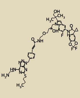 CCCSc1nc(NCCN)c2nnn(Cc3ccc(C#CC(=O)NCCOCC[C@H](O)Cn4c(C(C)(C)CO)cc5cc(NC(=O)C6(c7ccc8c(c7)OC(F)(F)O8)CC6)c(F)cc54)cc3)c2n1